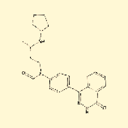 CC(CCN(C=O)c1ccc(-c2n[nH]c(=O)c3ccccc23)cc1)NC1CCCC1